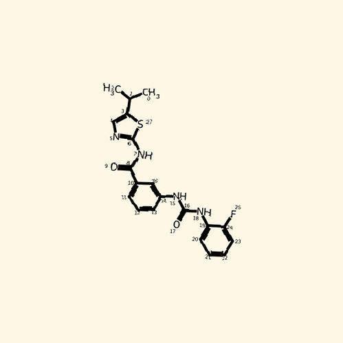 CC(C)c1cnc(NC(=O)c2cccc(NC(=O)Nc3ccccc3F)c2)s1